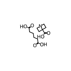 O=C(O)C12CCN1CC2.O=C(O)CCCCC(=O)O